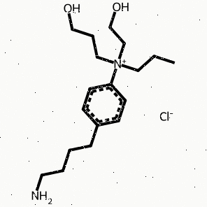 CCC[N+](CCO)(CCCO)c1ccc(CCCCN)cc1.[Cl-]